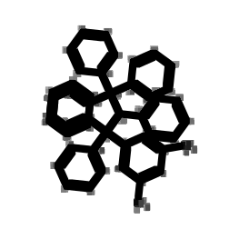 FC(F)(F)c1cc(C(F)(F)F)cc(C(c2ccccc2)(c2ccccc2)C(c2ccccc2)C(c2ccccc2)(c2ccccc2)c2ccccc2)c1